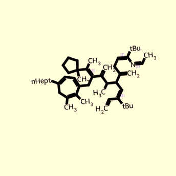 C=C/C(=C\C(C(=C)C/C=C(\N=C/C)C(C)(C)C)C(C)C(=C)/C(CC1=CC=C(CCCCCCC)CC(C)=C1C)=C(\C)C1(C)CCCC1)C(C)(C)C